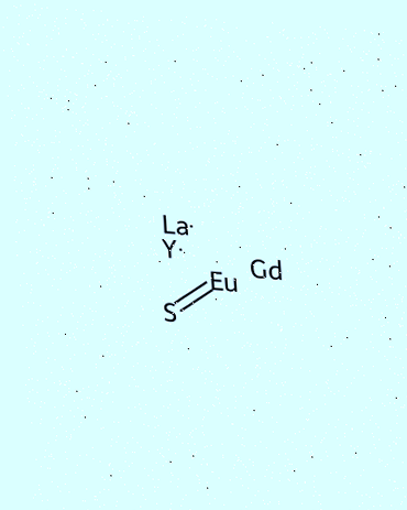 [Gd].[La].[S]=[Eu].[Y]